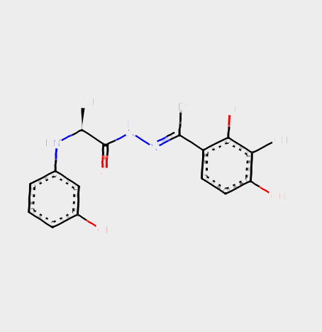 CC/C(=N\NC(=O)[C@H](C)Nc1cccc(O)c1)c1ccc(O)c(C)c1O